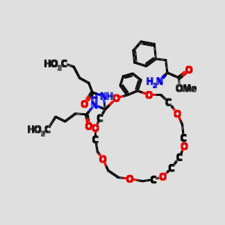 COC(=O)[C@@H](N)Cc1ccccc1.O=C(O)CCCC(=O)NC1(NC(=O)CCCC(=O)O)COCCOCCOCCOCCOCCOCCOc2ccccc2O1